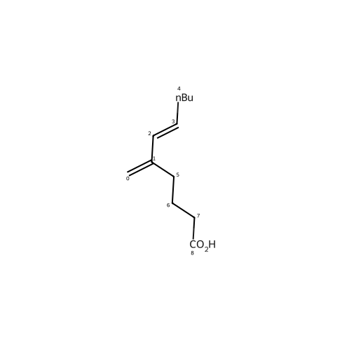 C=C(C=CCCCC)CCCC(=O)O